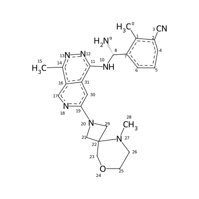 Cc1c(C#N)cccc1[C@@H](N)Nc1nnc(C)c2cnc(N3CC4(COCCN4C)C3)cc12